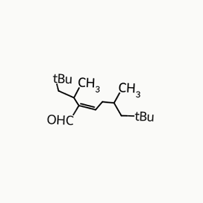 CC(CC=C(C=O)C(C)CC(C)(C)C)CC(C)(C)C